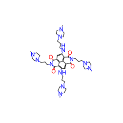 CN1CCN(CCCNc2cc3c4c(c(NCCCN5CCN(C)CC5)cc5c4c2C(=O)N(CCCN2CCN(C)CC2)C5=O)C(=O)N(CCCN2CCN(C)CC2)C3=O)CC1